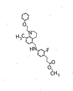 CCOC(=O)CCc1ccc(NCc2ccc(C)c3c2CCCN3CCOc2ccccc2)cc1F